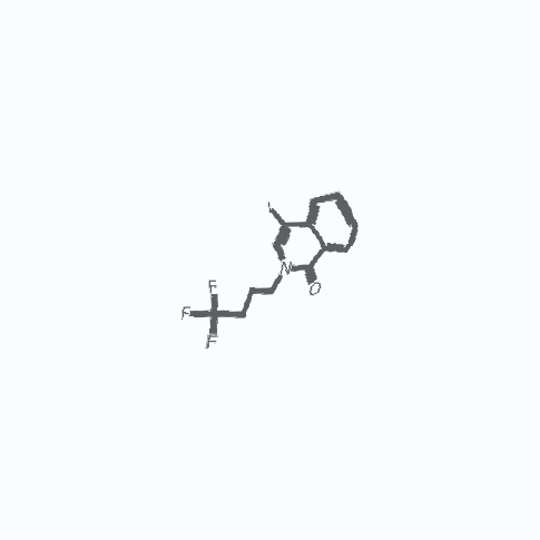 O=c1c2ccccc2c(I)cn1CCCC(F)(F)F